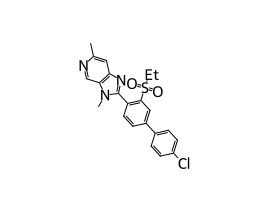 CCS(=O)(=O)c1cc(-c2ccc(Cl)cc2)ccc1-c1nc2cc(C)ncc2n1C